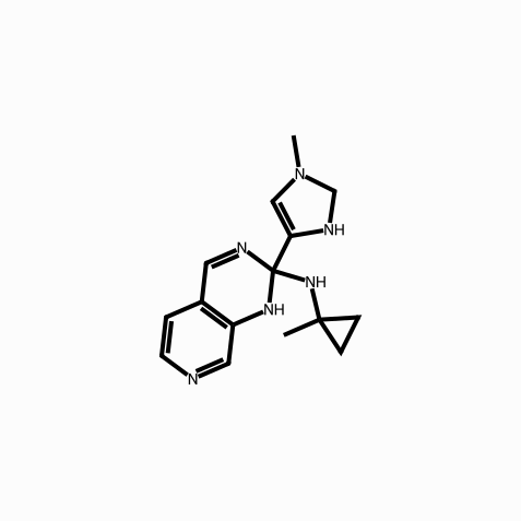 CN1C=C(C2(NC3(C)CC3)N=Cc3ccncc3N2)NC1